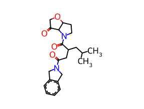 CC(C)CC(CC(=O)N1Cc2ccccc2C1)C(=O)N1CCC2OCC(=O)C21